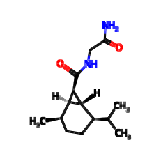 CC(C)[C@H]1CC[C@@H](C)[C@H]2[C@@H](C(=O)NCC(N)=O)[C@@H]21